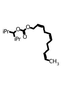 C/C=C\CC/C=C\C/C=C\COC(=O)OC(C(C)C)C(C)C